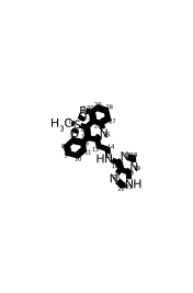 CS(=O)(=O)c1c(-c2ccccc2)c(CCNc2ncnc3[nH]cnc23)nc2cccc(F)c12